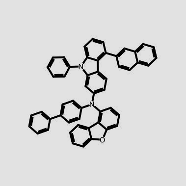 c1ccc(-c2ccc(N(c3ccc4c5c(-c6ccc7ccccc7c6)cccc5n(-c5ccccc5)c4c3)c3cccc4oc5ccccc5c34)cc2)cc1